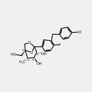 C[C@H]1[C@H](O)[C@@H](O)C2(c3ccc(F)c(Cc4ccc(Cl)cc4)c3)OC[C@]1(CO)O2